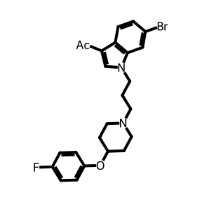 CC(=O)c1cn(CCCN2CCC(Oc3ccc(F)cc3)CC2)c2cc(Br)ccc12